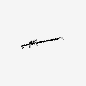 CCC=CCC=CCC=CCC=CCC=CCC=CCCC(=O)NCCCC(NC(=O)CCCCC1CCSS1)C(=O)O